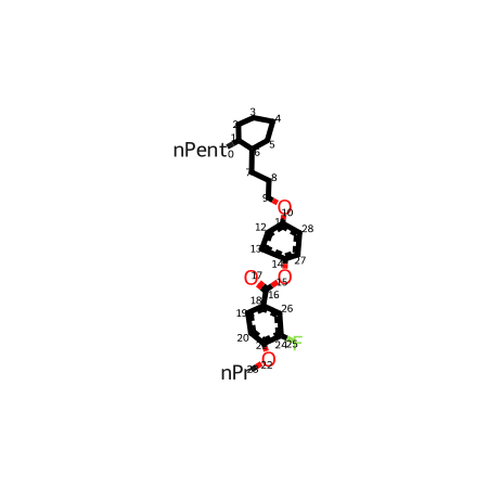 CCCCCC1CCCCC1CCCOc1ccc(OC(=O)c2ccc(OCCC)c(F)c2)cc1